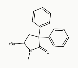 CN1C(=O)C(c2ccccc2)(c2ccccc2)CC1C(C)(C)C